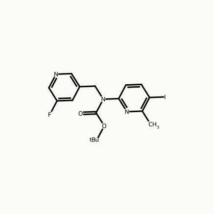 Cc1nc(N(Cc2cncc(F)c2)C(=O)OC(C)(C)C)ccc1I